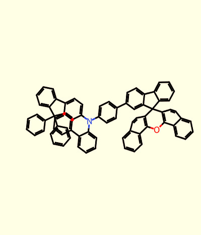 c1ccc(-c2ccccc2N(c2ccc(-c3ccc4c(c3)C3(c5ccccc5-4)c4ccc5ccccc5c4Oc4c3ccc3ccccc43)cc2)c2ccc3c(c2)C(c2ccccc2)(c2ccccc2)c2ccccc2-3)cc1